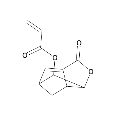 C=CC(=O)OC1C2C=C3C(=O)OC1C3C2